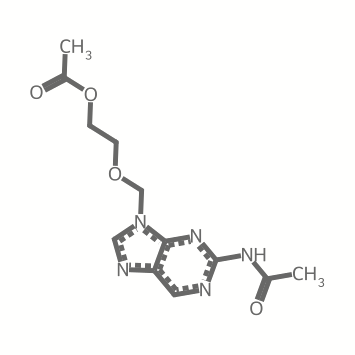 CC(=O)Nc1ncc2ncn(COCCOC(C)=O)c2n1